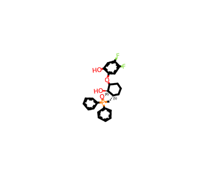 O=P(C[C@H]1CCCC(Oc2cc(F)c(F)cc2O)[C@@H]1O)(c1ccccc1)c1ccccc1